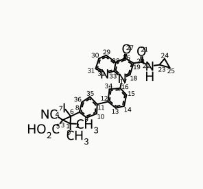 CC1(C)C(C#N)(C(=O)O)C1(I)c1ccc(-c2cccc(-n3cc(C(=O)NC4CC4)c(=O)c4cccnc43)c2)cc1